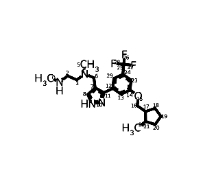 CNCCN(C)Cc1c[nH]nc1-c1cc(OCC2CCCC2C)cc(C(F)(F)F)c1